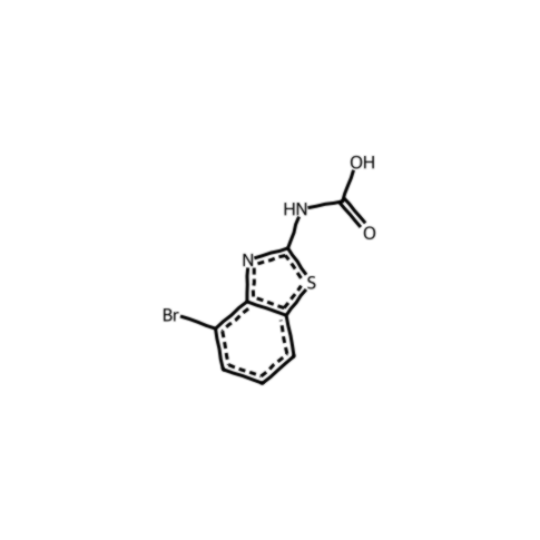 O=C(O)Nc1nc2c(Br)cccc2s1